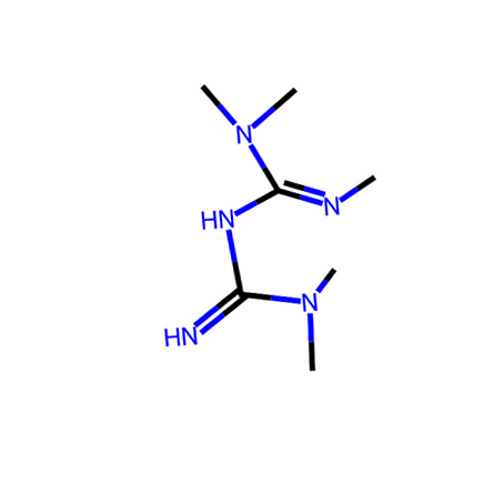 C/N=C(/NC(=N)N(C)C)N(C)C